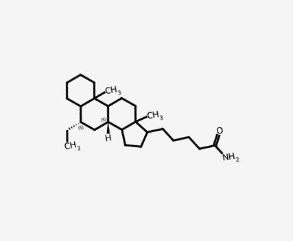 CC[C@H]1C[C@H]2C3CCC(CCCCC(N)=O)C3(C)CCC2C2(C)CCCCC12